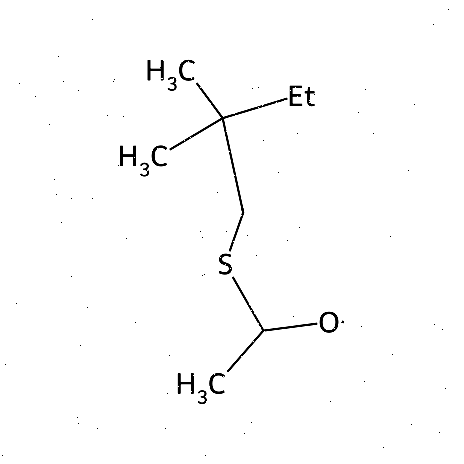 CCC(C)(C)CSC(C)[O]